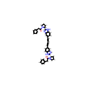 O=C(Cc1ccccc1)N1CCC[C@H]1c1nc2cc(C#CC#Cc3ccc4[nH]c([C@@H]5CCCN5C(=O)Cc5ccccc5)nc4c3)ccc2[nH]1